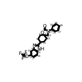 O=C1OC2(CCC(c3nc4cc(OC(F)(F)F)ccc4[nH]3)CC2)CN1c1ccccc1